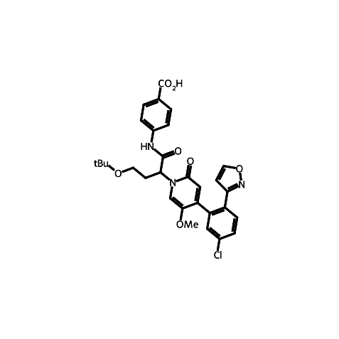 COc1cn(C(CCOC(C)(C)C)C(=O)Nc2ccc(C(=O)O)cc2)c(=O)cc1-c1cc(Cl)ccc1-c1ccon1